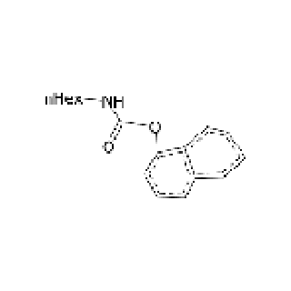 CCCCCCNC(=O)Oc1cccc2ccccc12